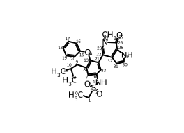 CCS(=O)(=O)Nc1cc(CC(C)C)c(Oc2ccccc2)c(-c2cn(C)c(=O)c3[nH]ccc23)c1